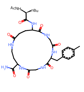 CCCC[C@H](NC(C)=O)C(=O)NC1CCC(=O)NCCC(C(N)=O)NC(=O)CNC(=O)C(Cc2ccc(C)cc2)NC(=O)CNC1=O